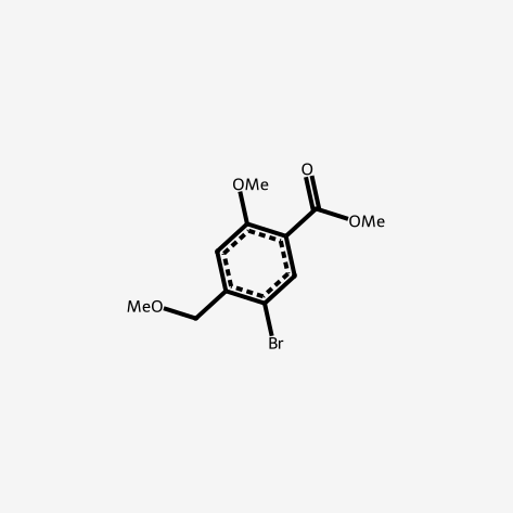 COCc1cc(OC)c(C(=O)OC)cc1Br